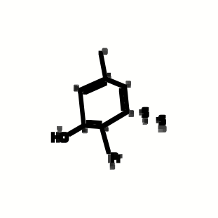 Cc1ccc(C(C)C)c(O)c1.[S].[S]